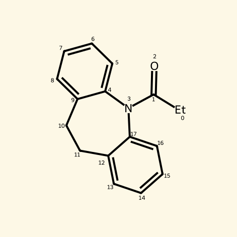 CCC(=O)N1c2ccccc2CCc2ccccc21